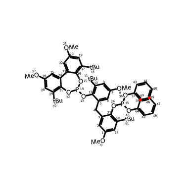 COc1cc(Cc2cc(OC)cc(C(C)(C)C)c2Op2oc3c(C(C)(C)C)cc(OC)cc3c3cc(OC)cc(C(C)(C)C)c3o2)c(OP(Oc2ccccc2)Oc2ccccc2)c(C(C)(C)C)c1